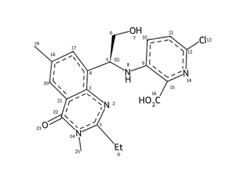 CCc1nc2c([C@@H](CO)Nc3ccc(Cl)nc3C(=O)O)cc(C)cc2c(=O)n1C